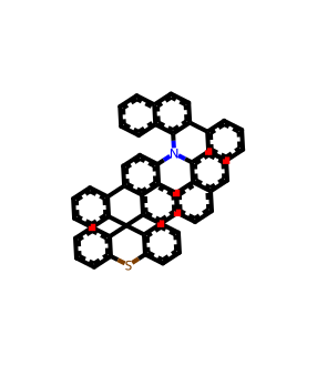 c1ccc(-c2ccc3ccccc3c2N(c2cccc3ccccc23)c2ccc3c4c(cccc24)C2(c4ccccc4Sc4ccccc42)c2ccccc2-3)cc1